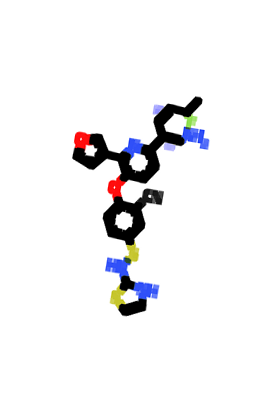 CC(F)/C=C\C(=C/N)c1ccc(Oc2ccc(SNC3NC=CS3)cc2C#N)c(-c2ccoc2)n1